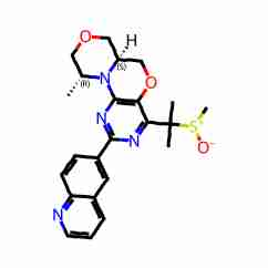 C[C@@H]1COC[C@H]2COc3c(nc(-c4ccc5ncccc5c4)nc3C(C)(C)[S+](C)[O-])N21